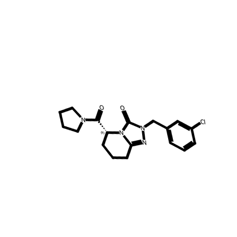 O=C([C@H]1CCCc2nn(Cc3cccc(Cl)c3)c(=O)n21)N1CCCC1